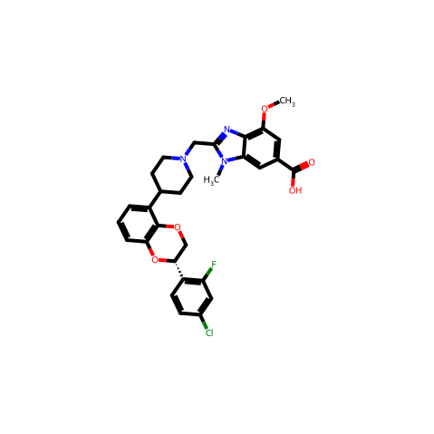 COc1cc(C(=O)O)cc2c1nc(CN1CCC(c3cccc4c3OC[C@H](c3ccc(Cl)cc3F)O4)CC1)n2C